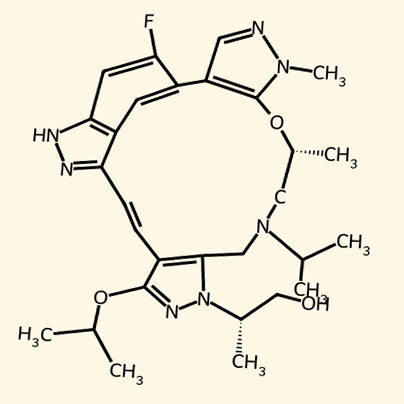 CC(C)Oc1nn([C@@H](C)CO)c2c1/C=C/c1n[nH]c3cc(F)c(cc13)-c1cnn(C)c1O[C@H](C)CN(C(C)C)C2